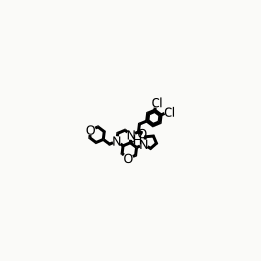 O=C(Cc1ccc(Cl)c(Cl)c1)N1CCN(CC2CCOCC2)C2COCC(N3CCCC3)[C@H]21